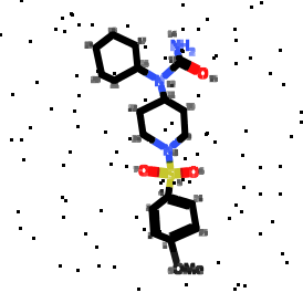 COc1ccc(S(=O)(=O)N2CCC(N(C(N)=O)C3CCCCC3)CC2)cc1